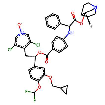 O=C(O[C@@H](Cc1c(Cl)c[n+]([O-])cc1Cl)c1ccc(OC(F)F)c(OCC2CC2)c1)c1ccc(NC(C(=O)O[C@H]2CN3CCC2CC3)c2ccccc2)cc1